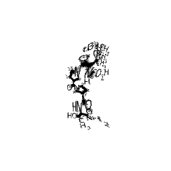 CC(O)C(NC(=O)[C@@H]1CCN(C(=O)[C@H]2CCN(C(=O)C(NC(=O)O)C(C)O[Si](C)(C)C(C)(C)C)C2)C1)C(N)=O